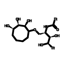 CCC(=O)N[C@@H](COC1CCCC[C@H](O)[C@H](O)[C@H]1O)[C@H](O)[C@H](O)CC